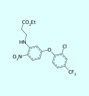 CCOC(=O)CCNc1cc(Oc2ccc(C(F)(F)F)cc2Cl)ccc1[N+](=O)[O-]